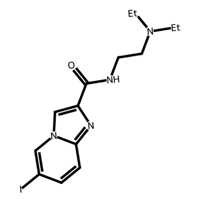 CCN(CC)CCNC(=O)c1cn2cc(I)ccc2n1